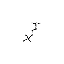 CN(C)CCCC(C)(C)C